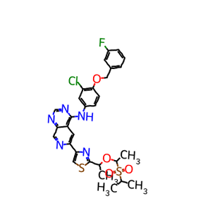 CC(OC(C)S(=O)(=O)C(C)C)c1nc(-c2cc3c(Nc4ccc(OCc5cccc(F)c5)c(Cl)c4)ncnc3cn2)cs1